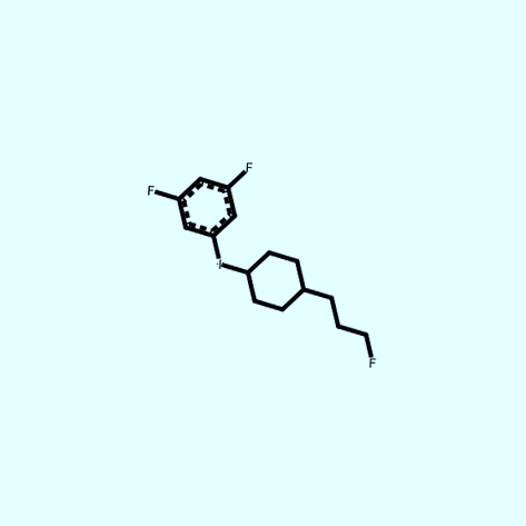 FCCCC1CCC([I]c2cc(F)cc(F)c2)CC1